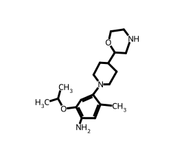 Cc1cc(N)c(OC(C)C)cc1N1CCC(C2CNCCO2)CC1